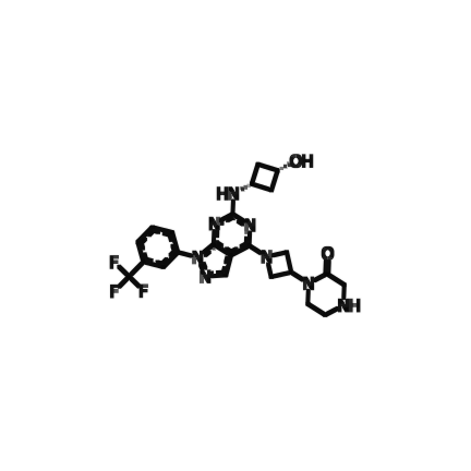 O=C1CNCCN1C1CN(c2nc(N[C@H]3C[C@@H](O)C3)nc3c2cnn3-c2cccc(C(F)(F)F)c2)C1